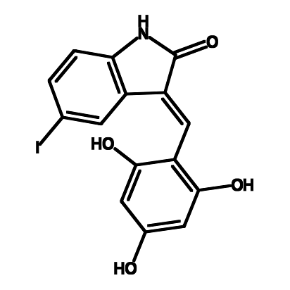 O=C1Nc2ccc(I)cc2C1=Cc1c(O)cc(O)cc1O